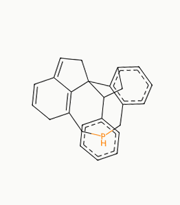 C1=CC2=CCC34C2=C(C1)CPCc1cccc(c13)CC4c1ccccc1